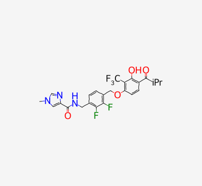 CC(C)C(=O)c1ccc(OCc2ccc(CNC(=O)c3cn(C)cn3)c(F)c2F)c(C(F)(F)F)c1O